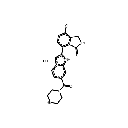 Cl.O=C1NCc2c(Cl)ccc(-c3cc4ccc(C(=O)N5CCNCC5)cc4[nH]3)c21